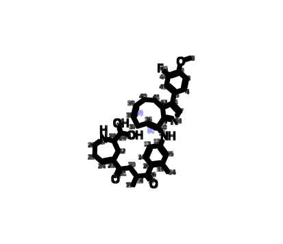 COc1ccc(C2=CN=C3/C(Nc4ccc(C(=O)C(C)CC(=O)C5=CCCNC(C(O)O)C5)c(C)c4)=C/C/C=C\CCC23)cc1F